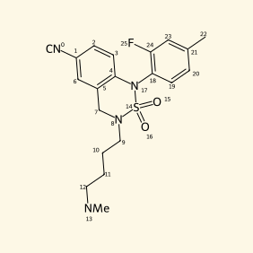 [C-]#[N+]c1ccc2c(c1)CN(CCCCNC)S(=O)(=O)N2c1ccc(C)cc1F